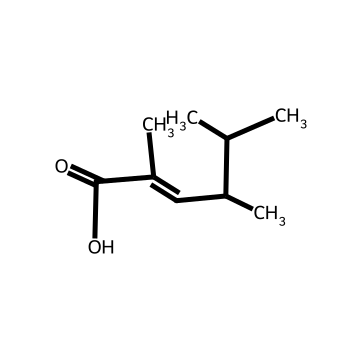 CC(=CC(C)C(C)C)C(=O)O